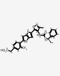 Cc1nsc(-c2cc3sc(-c4ccc(CC(=O)O)cc4C(F)(F)F)cc3s2)c1NC(=O)O[C@H](C)c1ccccc1